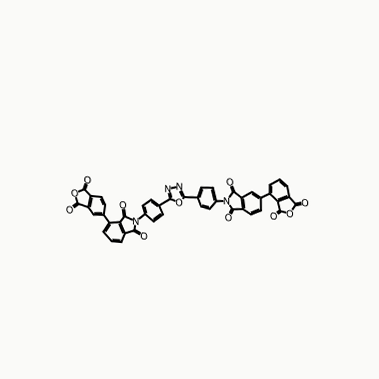 O=C1OC(=O)c2cc(-c3cccc4c3C(=O)N(c3ccc(-c5nnc(-c6ccc(N7C(=O)c8ccc(-c9cccc%10c9C(=O)OC%10=O)cc8C7=O)cc6)o5)cc3)C4=O)ccc21